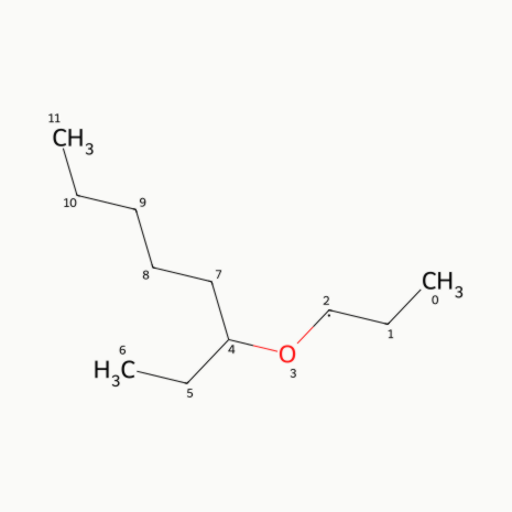 CC[CH]OC(CC)CCCCC